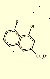 CCOC(=O)c1cc(O)c2c(Br)cccc2c1